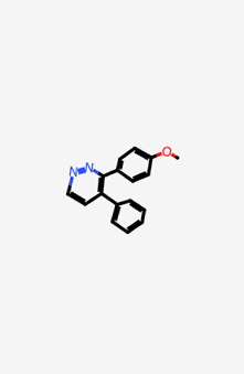 COc1ccc(-c2nnccc2-c2ccccc2)cc1